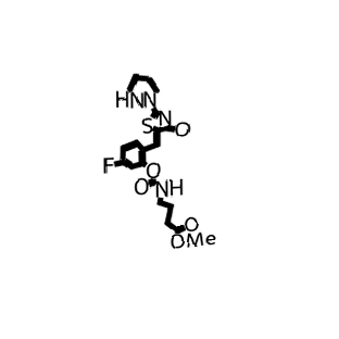 COC(=O)CCCNC(=O)Oc1cc(F)ccc1C=C1SC(N2CCCCN2)=NC1=O